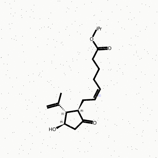 C=C(C)[C@H]1[C@H](O)CC(=O)[C@@H]1C/C=C\CCCC(=O)OC(C)C